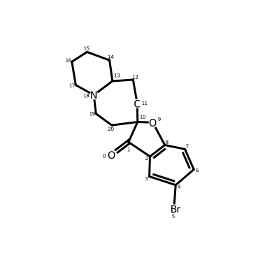 O=C1c2cc(Br)ccc2OC12CCC1CCCCN1CC2